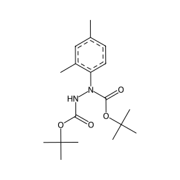 Cc1ccc(N(NC(=O)OC(C)(C)C)C(=O)OC(C)(C)C)c(C)c1